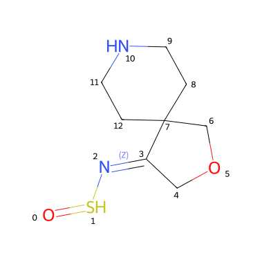 O=[SH]/N=C1\COCC12CCNCC2